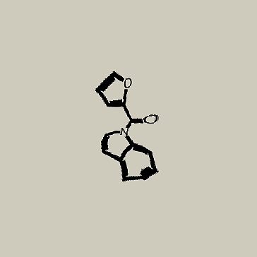 O=C(c1ccco1)n1ccc2ccccc21